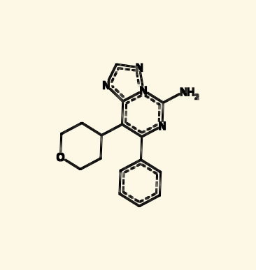 Nc1nc(-c2ccccc2)c(C2CCOCC2)c2ncnn12